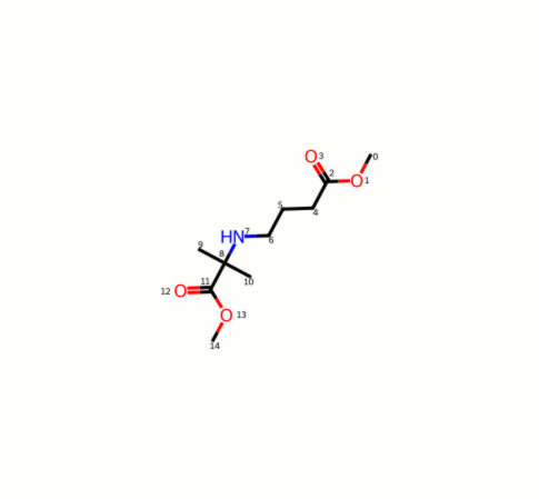 COC(=O)CCCNC(C)(C)C(=O)OC